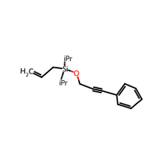 C=CC[Si](OCC#Cc1ccccc1)(C(C)C)C(C)C